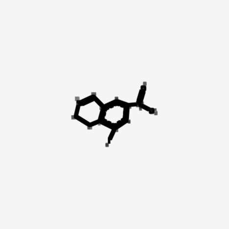 O=[N+]([O-])c1cc(I)c2c(c1)C=NCC2